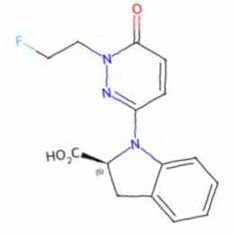 O=C(O)[C@@H]1Cc2ccccc2N1c1ccc(=O)n(CCF)n1